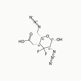 [N-]=[N+]=NC[C@@H]1O[C@H](O)[C@H](N=[N+]=[N-])C(F)(F)[C@@H]1CC(=O)O